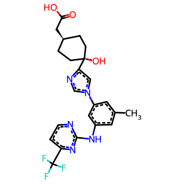 Cc1cc(Nc2nccc(C(F)(F)F)n2)cc(-n2cnc([C@]3(O)CC[C@@H](CC(=O)O)CC3)c2)c1